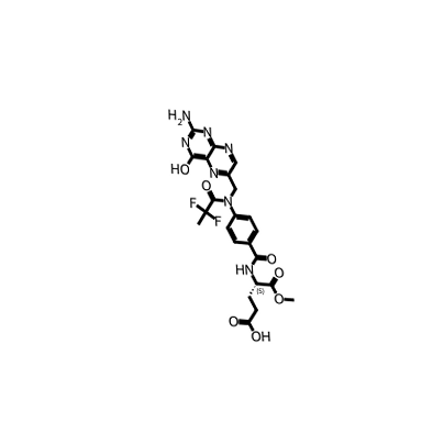 COC(=O)[C@H](CCC(=O)O)NC(=O)c1ccc(N(Cc2cnc3nc(N)nc(O)c3n2)C(=O)C(C)(F)F)cc1